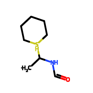 [CH2]C(NC=O)[SH]1CCCCC1